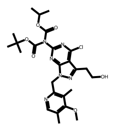 COc1c(C)cnc(Cn2nc(CCO)c3c(Cl)nc(N(C(=O)OC(C)C)C(=O)OC(C)(C)C)nc32)c1C